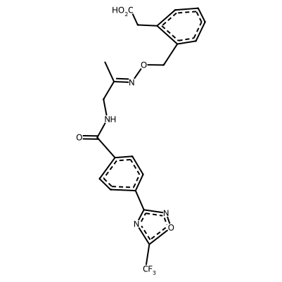 CC(CNC(=O)c1ccc(-c2noc(C(F)(F)F)n2)cc1)=NOCc1ccccc1CC(=O)O